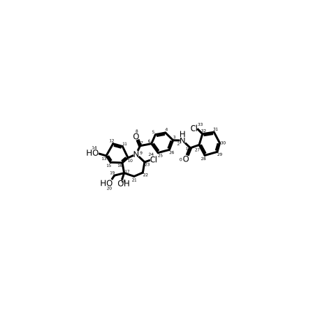 O=C(Nc1ccc(C(=O)N2c3ccc(O)cc3C(O)(CO)CCC2Cl)cc1)c1ccccc1Cl